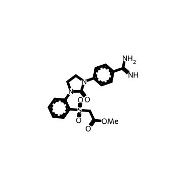 COC(=O)CS(=O)(=O)c1ccccc1N1CCN(c2ccc(C(=N)N)cc2)C1=O